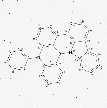 c1ccc(N2c3cnccc3B3c4c(cncc42)-c2cccc4c5ccccc5n3c24)cc1